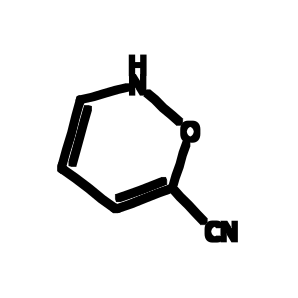 N#CC1=CC=CNO1